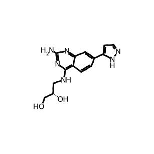 Nc1nc(NC[C@H](O)CO)c2ccc(-c3ccn[nH]3)cc2n1